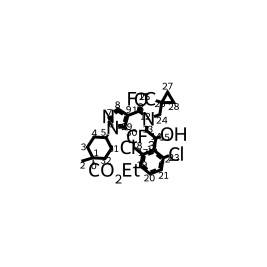 CCOC(=O)[C@]1(C)CC[C@@H](n2ncc(C(=O)N(CC(O)c3c(Cl)cccc3Cl)CC3(C(F)(F)F)CC3)c2C(F)(F)F)CC1